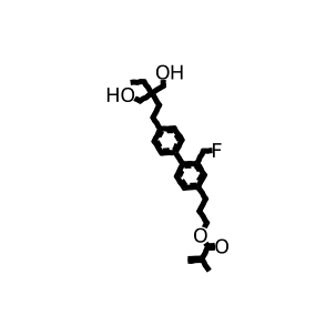 C=C(C)C(=O)OCCCc1ccc(-c2ccc(CCC(CC)(CO)CO)cc2)c(CF)c1